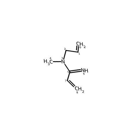 C=CCN(C)C(=N)C=C